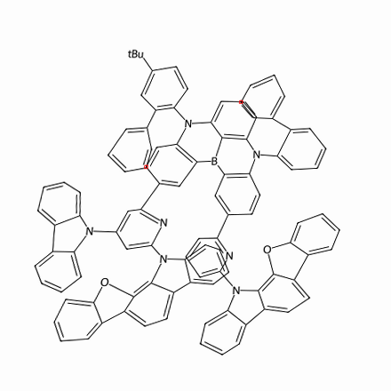 CC(C)(C)c1ccc(N2c3ccc(-c4cc(-n5c6ccccc6c6ccccc65)cc(-n5c6ccccc6c6ccc7c8ccccc8oc7c65)n4)cc3B3c4cc(-c5cccc(-n6c7ccccc7c7ccc8c9ccccc9oc8c76)n5)ccc4N(c4ccccc4-c4ccccc4)c4cccc2c43)c(-c2ccccc2)c1